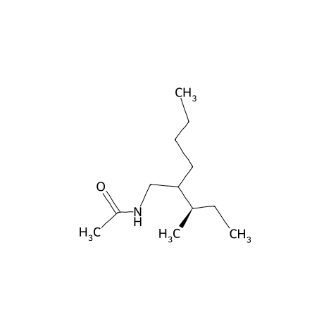 CCCCC(CNC(C)=O)[C@H](C)CC